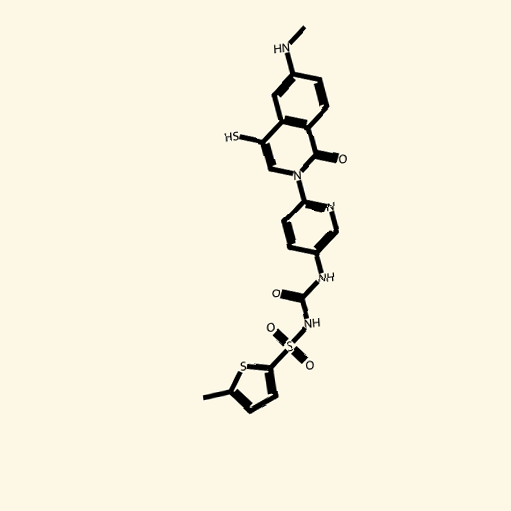 CNc1ccc2c(=O)n(-c3ccc(NC(=O)NS(=O)(=O)c4ccc(C)s4)cn3)cc(S)c2c1